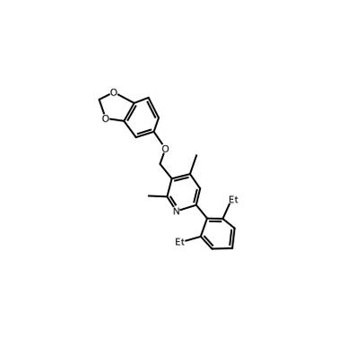 CCc1cccc(CC)c1-c1cc(C)c(COc2ccc3c(c2)OCO3)c(C)n1